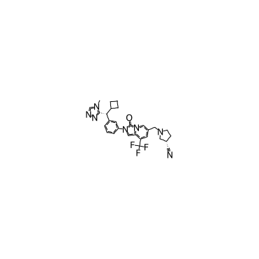 Cn1cnnc1[C@@H](c1cccc(-n2cc3c(C(F)(F)F)cc(CN4CC[C@H](C#N)C4)cn3c2=O)c1)C1CCC1